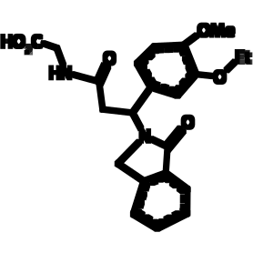 CCOc1cc(C(CC(=O)NCC(=O)O)N2Cc3ccccc3C2=O)ccc1OC